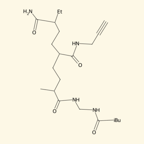 C#CCNC(=O)C(CCC(C)C(=O)NCNC(=O)C(C)CC)CCC(CC)C(N)=O